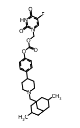 CC1CC2CC(C)CC(CN3CCC(c4ccc(OC(=O)OCn5cc(F)c(=O)[nH]c5=O)cc4)CC3)(C1)C2